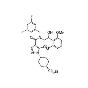 CCOC(=O)[C@H]1CC[C@H](n2ncc(C(=O)N(Cc3cc(F)cc(F)c3)CC(O)c3c(Cl)cccc3OC)c2C(F)(F)F)CC1